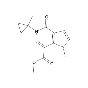 COC(=O)c1cn(C2(C)CC2)c(=O)c2ccn(C)c12